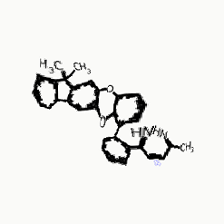 CC(=N)/C=C\C(=N)c1ccccc1-c1cccc2c1Oc1cc3c(cc1O2)C(C)(C)c1ccccc1-3